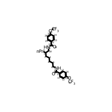 CCCC(CCCCCNC(=O)c1ccc(OC(F)(F)F)cc1)CNC(=O)c1ccc(OC(F)(F)F)cc1